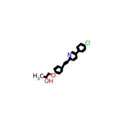 CC(O)COc1ccc(C#Cc2ccc(-c3ccc(Cl)cc3)cn2)cc1